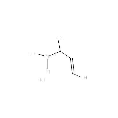 CC=CC(C)N(C)C.Cl